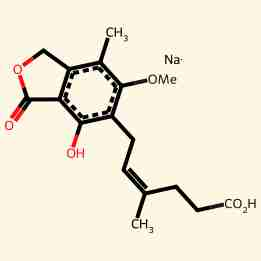 COc1c(C)c2c(c(O)c1CC=C(C)CCC(=O)O)C(=O)OC2.[Na]